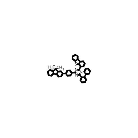 CC1(C)c2ccccc2-c2ccc(-c3ccc(-c4nc(-c5ccccc5-c5ccccc5)nc(-c5cccc6c5sc5ccccc56)n4)cc3)cc21